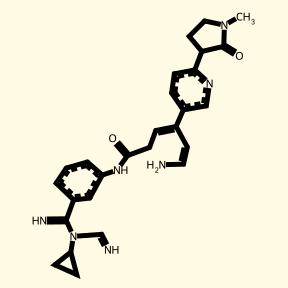 CN1CCC(c2ccc(C(/C=C\N)=C/CC(=O)Nc3cccc(C(=N)N(C=N)C4CC4)c3)cn2)C1=O